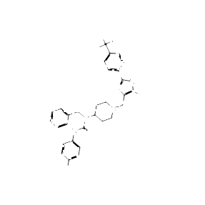 Cc1[nH]c(-c2ccc(C(F)(F)F)cc2)nc1CN1CCC(N(Cc2ccccc2)C(=O)Nc2ccc(I)cc2)CC1